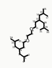 CC(C)CC(CCOCCOCCC(CC(C)C)CC(C)C)CC(C)C